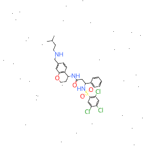 CC(C)CCNCc1ccc2c(c1)OCCC2NC(=O)CC(NS(=O)(=O)c1cc(Cl)c(Cl)cc1Cl)c1ccccc1